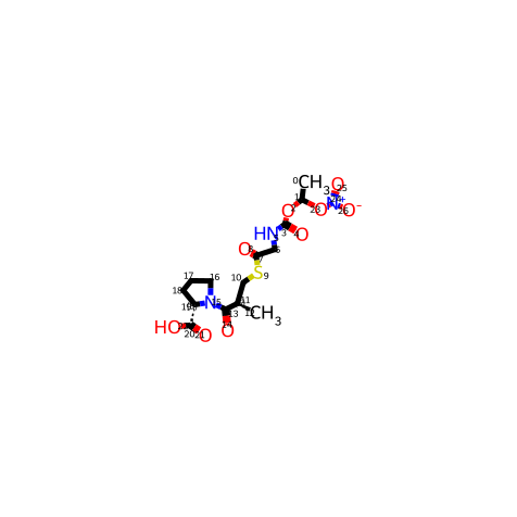 CC(OC(=O)NCC(=O)SC[C@@H](C)C(=O)N1CCC[C@H]1C(=O)O)O[N+](=O)[O-]